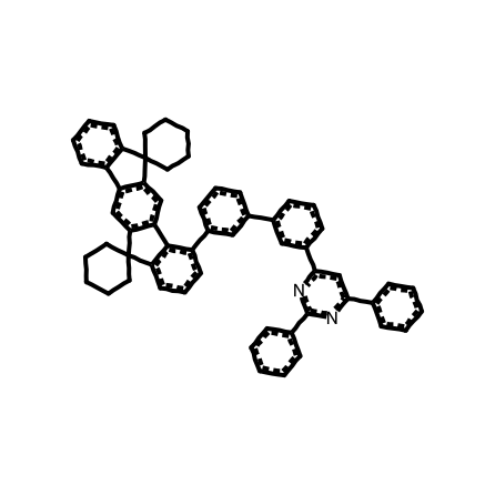 c1ccc(-c2cc(-c3cccc(-c4cccc(-c5cccc6c5-c5cc7c(cc5C65CCCCC5)-c5ccccc5C75CCCCC5)c4)c3)nc(-c3ccccc3)n2)cc1